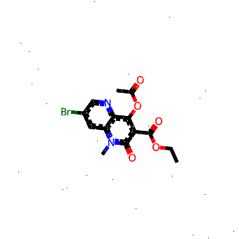 CCOC(=O)c1c(OC(C)=O)c2ncc(Br)cc2n(C)c1=O